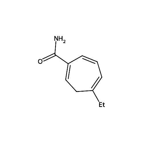 CCC1=CC=CC(C(N)=O)=CC1